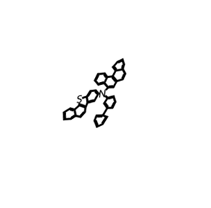 c1ccc(-c2cccc(N(c3ccc4sc5c6ccccc6ccc5c4c3)c3cc4ccc5ccccc5c4c4ccccc34)c2)cc1